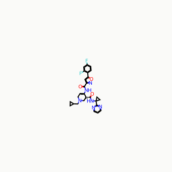 O=C(NC1=CCN(CC2CC2)C[C@@H]1C(=O)NC1(c2ncccn2)CC1)c1cc(-c2ccc(F)cc2F)on1